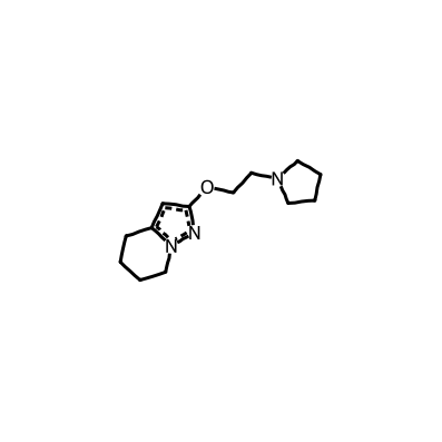 c1c(OCCN2CCCC2)nn2c1CCCC2